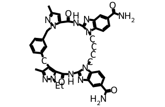 CCn1nc(C)c2c1C(=O)Nc1nc3cc(C(N)=O)ccc3n1CCCCn1c(nc3cc(C(N)=O)ccc31)NC(=O)c1cc(C)nn1Cc1cccc(c1)C2